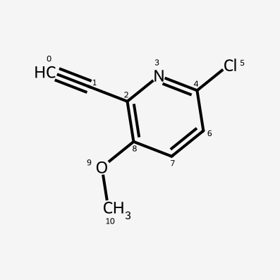 C#Cc1nc(Cl)ccc1OC